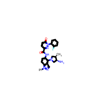 CC(C)n1ncc2c(N3C[C@@H](C)[C@@H](N)C3)c(NC(=O)c3ccc(=O)n(-c4ccccc4F)n3)ccc21